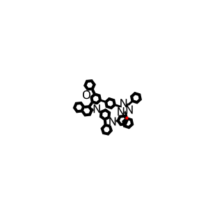 c1ccc(-c2nc(-c3ccccc3)nc(-c3ccc(-c4cc5c6ccccc6oc5c5c6c7ccccc7ccc6n(-c6ccc7c(c6)c6ccccc6n7-c6ccccc6)c45)cc3)n2)cc1